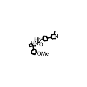 COc1cccc(C2(CNC(=O)Nc3ccc(-c4ccnc(C)c4)cc3)CCC2)c1